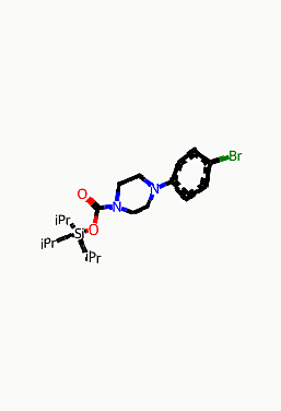 CC(C)[Si](OC(=O)N1CCN(c2ccc(Br)cc2)CC1)(C(C)C)C(C)C